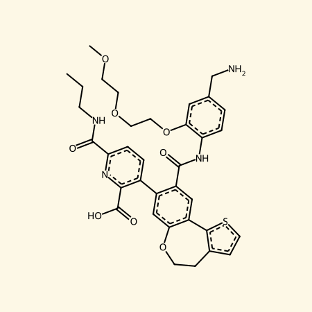 CCCNC(=O)c1ccc(-c2cc3c(cc2C(=O)Nc2ccc(CN)cc2OCCOCCOC)-c2sccc2CCO3)c(C(=O)O)n1